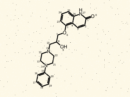 O=c1ccc2c(OCC(O)CN3CCN(c4ccccc4)CC3)cccc2[nH]1